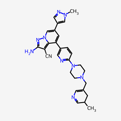 CC1C=NC=C(CN2CCN(c3ccc(-c4cc(-c5cnn(C)c5)cn5nc(N)c(C#N)c45)cn3)CC2)C1